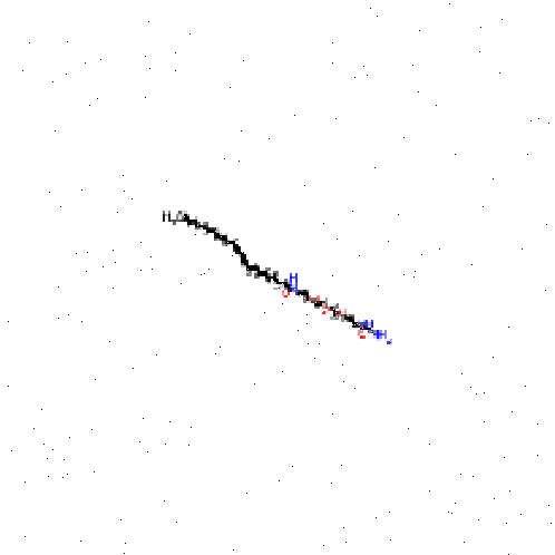 CCCCCCCCCCCCC#CC#CCCCCCCCCC(=O)NCCCOCCOCCOCCCNC(=O)CN